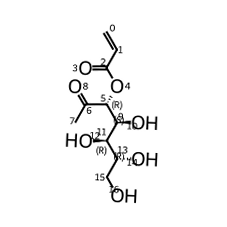 C=CC(=O)O[C@@H](C(C)=O)[C@@H](O)[C@H](O)[C@H](O)CO